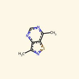 Cc1nsc2c(C)ncnc12